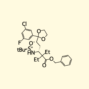 CCC(CC)(C(=O)OCc1ccccc1)[C@@H](CCC1(c2cc(F)cc(Cl)c2)OCCO1)N[S@+]([O-])C(C)(C)C